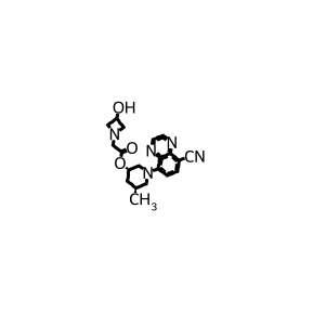 C[C@H]1C[C@@H](OC(=O)CN2CC(O)C2)CN(c2ccc(C#N)c3nccnc23)C1